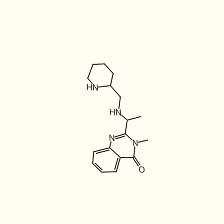 CC(NCC1CCCCN1)c1nc2ccccc2c(=O)n1C